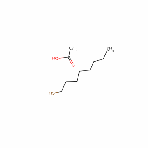 CC(=O)O.CCCCCCCCS